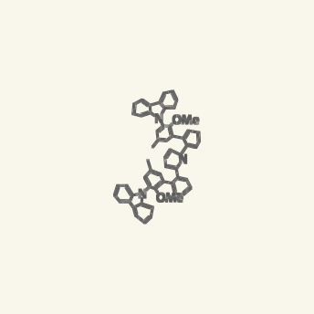 COc1c(-c2ccccc2-c2cccc(-c3ccccc3-c3cc(C)cc(-n4c5ccccc5c5ccccc54)c3OC)n2)cc(C)cc1-n1c2ccccc2c2ccccc21